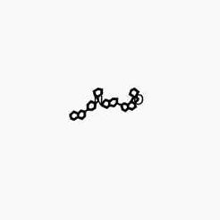 c1ccc(N(c2ccc(-c3ccc4ccccc4c3)cc2)c2ccc3cc(-c4ccc5ccc6oc7ccccc7c6c5c4)ccc3c2)cc1